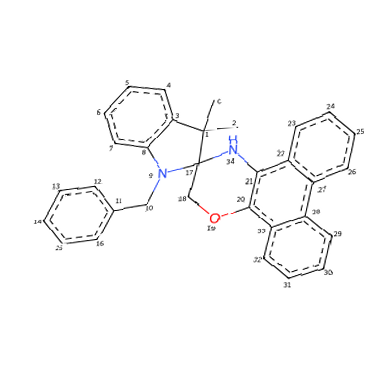 CC1(C)c2ccccc2N(Cc2ccccc2)C12COc1c(c3ccccc3c3ccccc13)N2